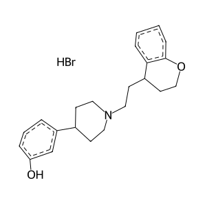 Br.Oc1cccc(C2CCN(CCC3CCOc4ccccc43)CC2)c1